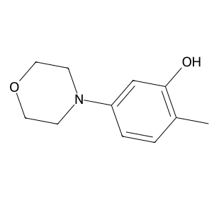 Cc1ccc(N2CCOCC2)cc1O